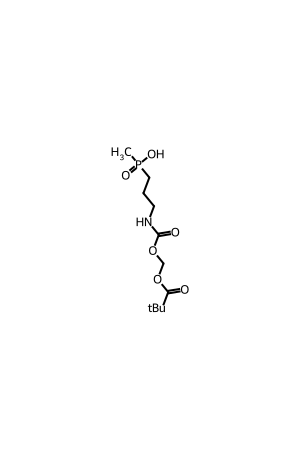 CC(C)(C)C(=O)OCOC(=O)NCCCP(C)(=O)O